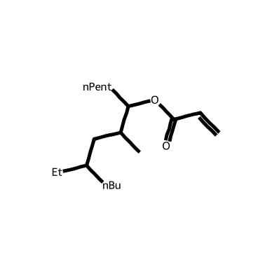 C=CC(=O)OC(CCCCC)C(C)CC(CC)CCCC